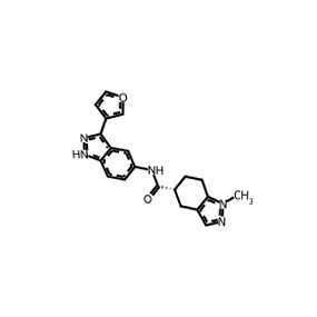 Cn1ncc2c1CC[C@@H](C(=O)Nc1ccc3[nH]nc(-c4ccoc4)c3c1)C2